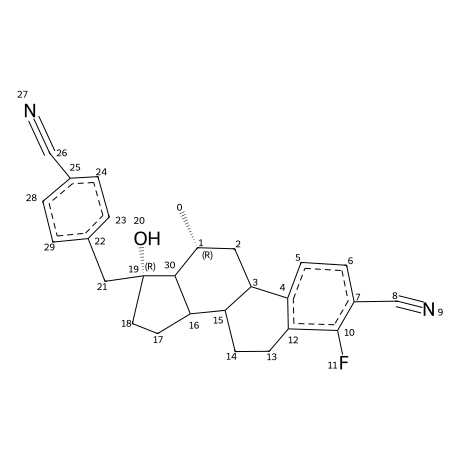 C[C@@H]1CC2c3ccc(C#N)c(F)c3CCC2C2CC[C@@](O)(Cc3ccc(C#N)cc3)C21